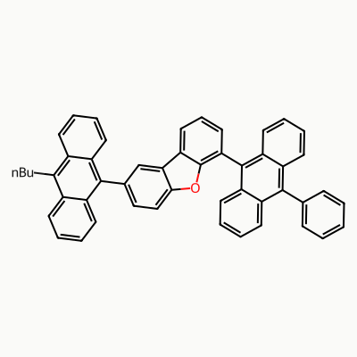 CCCCc1c2ccccc2c(-c2ccc3oc4c(-c5c6ccccc6c(-c6ccccc6)c6ccccc56)cccc4c3c2)c2ccccc12